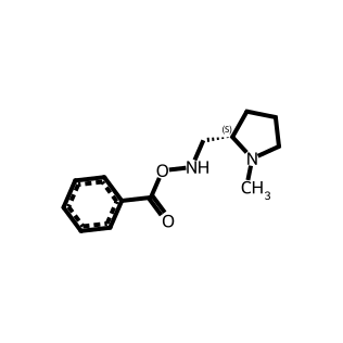 CN1CCC[C@H]1CNOC(=O)c1ccccc1